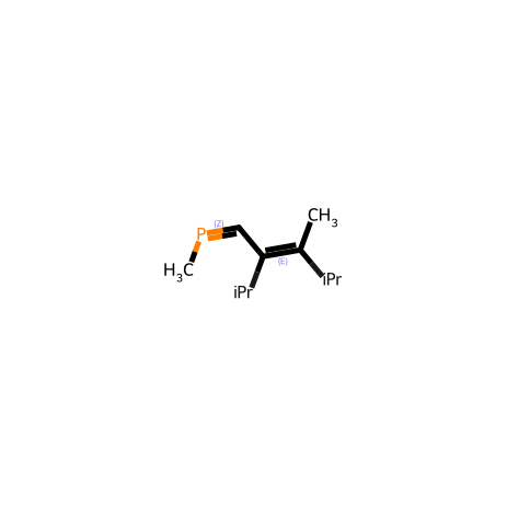 C/P=C\C(=C(/C)C(C)C)C(C)C